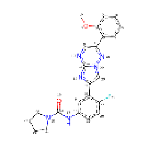 COc1ccccc1-c1cnc2nc(-c3cc(NC(=O)N4CCCC4)ccc3F)cn2n1